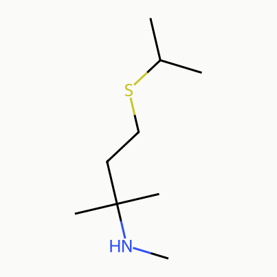 CNC(C)(C)CCSC(C)C